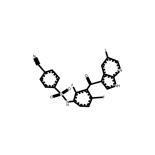 N#Cc1ccc(S(=O)(=O)Nc2ccc(F)c(C(=O)c3c[nH]c4ncc(I)cc34)c2F)cc1